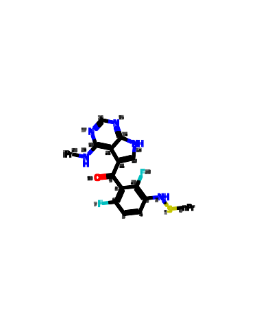 CCCSNc1ccc(F)c(C(=O)c2c[nH]c3ncnc(NC(C)C)c23)c1F